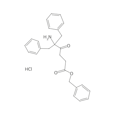 Cl.NC(Cc1ccccc1)(Cc1ccccc1)C(=O)CCC(=O)OCc1ccccc1